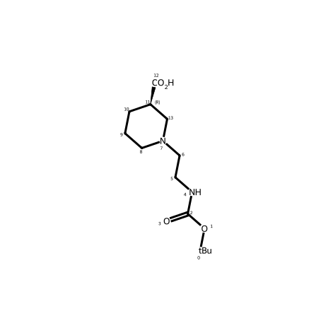 CC(C)(C)OC(=O)NCCN1CCC[C@@H](C(=O)O)C1